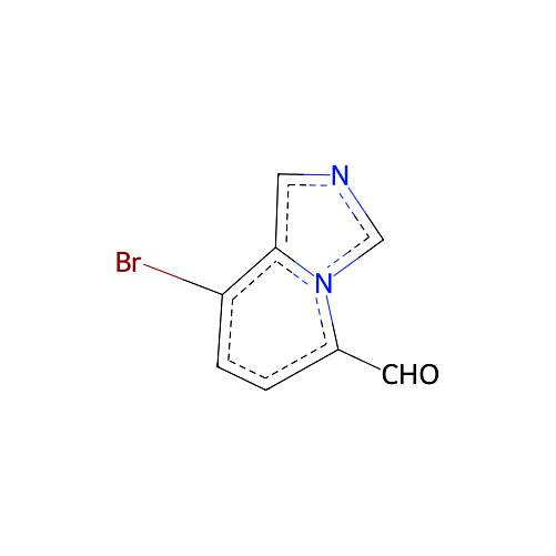 O=Cc1ccc(Br)c2cncn12